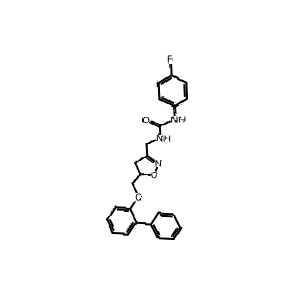 O=C(NCC1=NOC(COc2ccccc2-c2ccccc2)C1)Nc1ccc(F)cc1